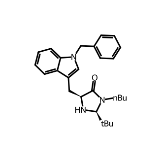 CCCCN1C(=O)[C@H](Cc2cn(Cc3ccccc3)c3ccccc23)N[C@@H]1C(C)(C)C